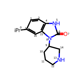 CC(C)c1ccc2[nH]c(=O)n(C3CCCNC3)c2c1